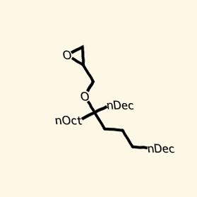 CCCCCCCCCCCCCC(CCCCCCCC)(CCCCCCCCCC)OCC1CO1